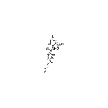 CCCCSc1cnc(C(=O)Nc2ccc(Br)cc2C(=O)O)cn1